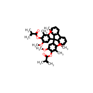 C=C(C)C(=O)Oc1c(OC)cc(C2(c3cc(OC)c(OC(=O)C(=C)C)c(C)c3OC)c3ccccc3-c3ccccc32)c(OC)c1C